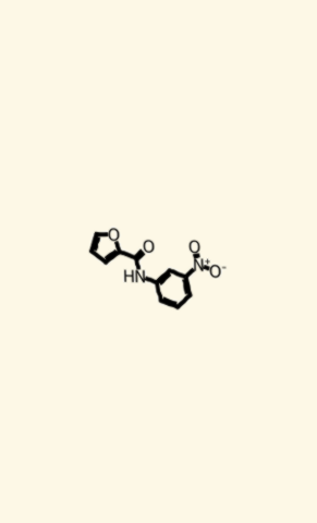 O=C(Nc1cccc([N+](=O)[O-])c1)c1ccco1